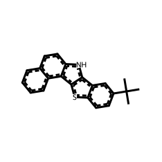 CC(C)(C)c1ccc2sc3c([nH]c4ccc5ccccc5c43)c2c1